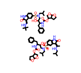 CC(C)CN(CC(O)C(Cc1ccccc1)NC(=O)OC1COC2OCCC12)S(=O)(=O)c1ccc2c(c1)C(=CNC(C)(C)C)C(=O)N2.CC(NCC(C)C)=C1C(=O)Nc2ccc(S(=O)(=O)N(CC(C)C)CC(O)C(Cc3ccccc3)NC(=O)OC3COC4OCCC34)cc21